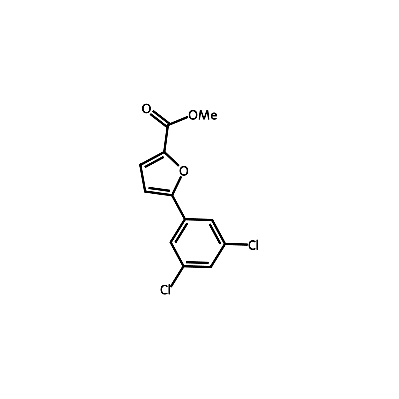 COC(=O)c1ccc(-c2cc(Cl)cc(Cl)c2)o1